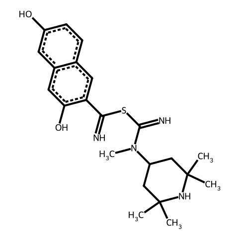 CN(C(=N)SC(=N)c1cc2ccc(O)cc2cc1O)C1CC(C)(C)NC(C)(C)C1